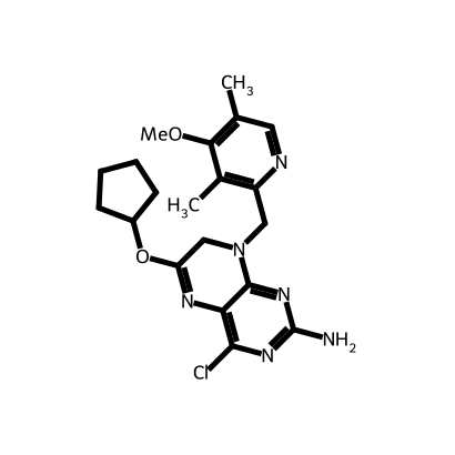 COc1c(C)cnc(CN2CC(OC3CCCC3)=Nc3c(Cl)nc(N)nc32)c1C